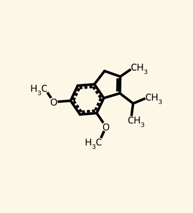 COc1cc2c(c(OC)c1)C(C(C)C)=C(C)C2